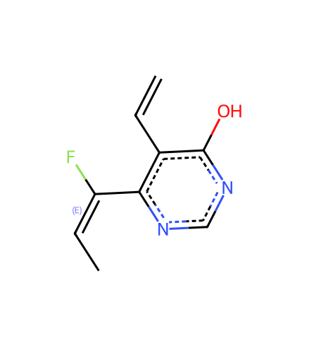 C=Cc1c(O)ncnc1/C(F)=C\C